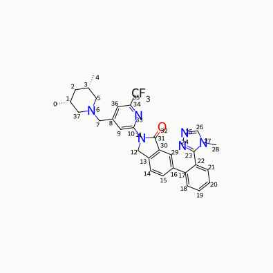 C[C@@H]1C[C@H](C)CN(Cc2cc(N3Cc4ccc(-c5ccccc5-c5nncn5C)cc4C3=O)nc(C(F)(F)F)c2)C1